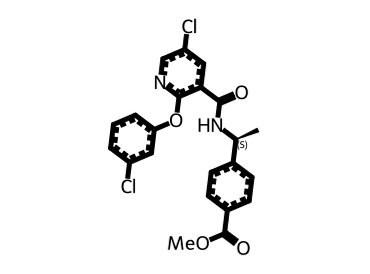 COC(=O)c1ccc([C@H](C)NC(=O)c2cc(Cl)cnc2Oc2cccc(Cl)c2)cc1